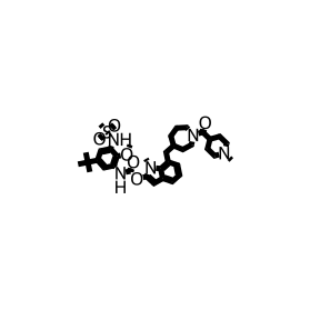 COc1c(NC(=O)Oc2cc3cccc(CC4CCCN(C(=O)C5CCN(C)CC5)CC4)c3n2C)cc(C(C)(C)C)cc1NS(C)(=O)=O